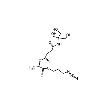 CC(OC(=O)CCC(=O)NC(CO)(CO)CO)C(=O)OCCCN=[N+]=[N-]